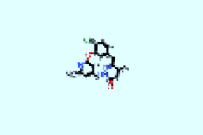 Cc1cc(C#N)nc(Oc2cc(Cc3n[nH]c(=O)cc3C)ccc2Cl)c1